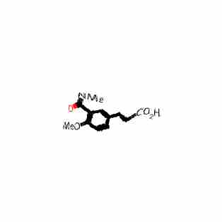 CNC(=O)c1cc(CCC(=O)O)ccc1OC